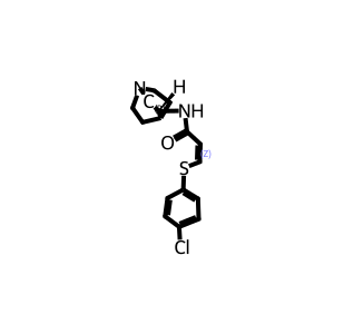 O=C(/C=C\Sc1ccc(Cl)cc1)N[C@H]1CN2CCC1CC2